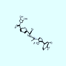 C/C(=N\NC(=O)c1ccc(C(=O)N2CC(O)C(O)C2)s1)c1csc(-c2ccc(Cl)c(Cl)c2)c1O